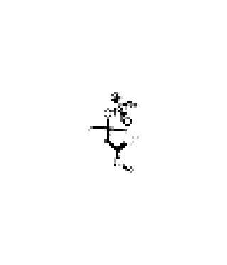 COC(=O)CC(C)(C)OS(C)(=O)=O